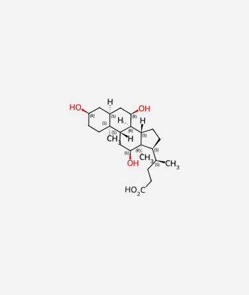 C[C@@H](CCC(=O)O)[C@@H]1CC[C@H]2[C@@H]3[C@H](O)C[C@@H]4C[C@H](O)CC[C@]4(C)[C@H]3C[C@H](O)[C@@]21C